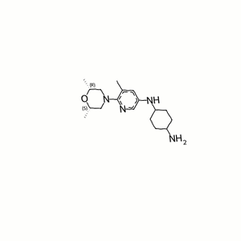 Cc1cc(NC2CCC(N)CC2)cnc1N1C[C@@H](C)O[C@@H](C)C1